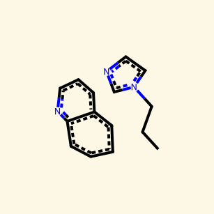 CCCn1ccnc1.c1ccc2ncccc2c1